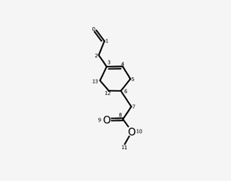 C=CCC1=CCC(CC(=O)OC)CC1